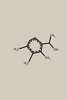 Cc1ccc(C(C)O)c(C)c1C